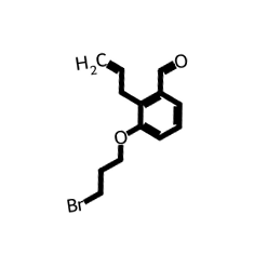 C=CCc1c(C=O)cccc1OCCCBr